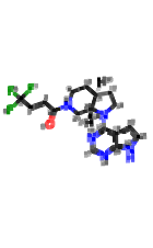 O=C(/C=C/C(F)(F)F)N1CC[C@H]2CCN(c3ncnc4[nH]ccc34)[C@@H]2C1